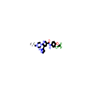 O=C(Nc1ccc(OC(F)(F)Cl)cc1)c1cnc(N2CCN(CC(F)(F)F)CC2)c(-c2ccn[nH]2)c1